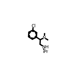 CC(C)NCC(c1cccc(Cl)c1)N(C)C